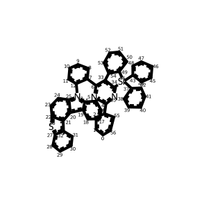 c1ccc(-c2nc(-c3ccccc3-n3c4ccccc4c4c5c(ccc43)sc3ccccc35)c3c(n2)[Si](c2ccccc2)(c2ccccc2)c2ccccc2-3)cc1